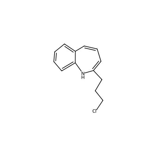 ClCCCC1=CC=Cc2ccccc2N1